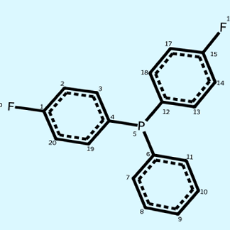 Fc1ccc(P(c2ccccc2)c2ccc(F)cc2)cc1